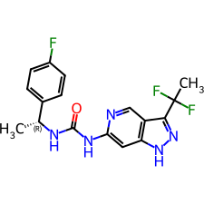 C[C@@H](NC(=O)Nc1cc2[nH]nc(C(C)(F)F)c2cn1)c1ccc(F)cc1